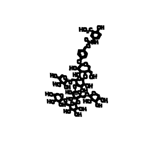 O=C(Nc1ccc(O)c(C(=O)O)c1)OCc1ccc(O[C@@H]2OCC(CO)C(O[C@@H]3OC(CO[C@H]4OC[C@@H](O)C(O)C4O)[C@@H](O[C@@H]4OC(CO[C@H]5OC[C@@H](O)C(O)C5O)C(O[C@@H]5OC(CO[C@H]6OC[C@@H](O)C(O)C6O)[C@@H](O)C(O)C5O)[C@H](O)C4O)C(O)C3O)C(O)C2O)cc1